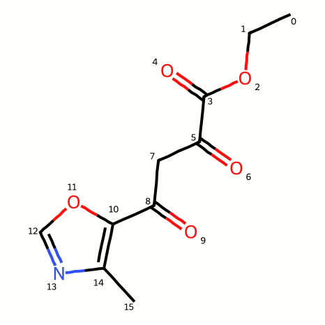 CCOC(=O)C(=O)CC(=O)c1ocnc1C